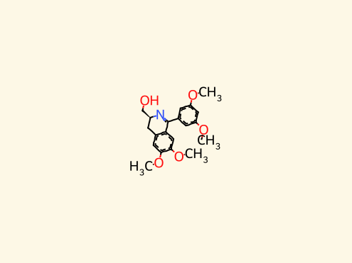 COc1cc(OC)cc(C2=N[C@H](CO)Cc3cc(OC)c(OC)cc32)c1